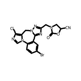 N#CC1CN(Cc2nc3n(n2)Cc2c(Cl)ncn2-c2ccc(Br)cc2-3)C(=O)O1